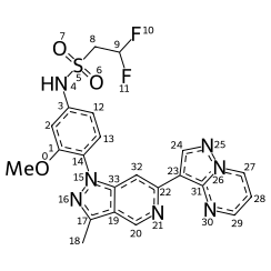 COc1cc(NS(=O)(=O)CC(F)F)ccc1-n1nc(C)c2cnc(-c3cnn4cccnc34)cc21